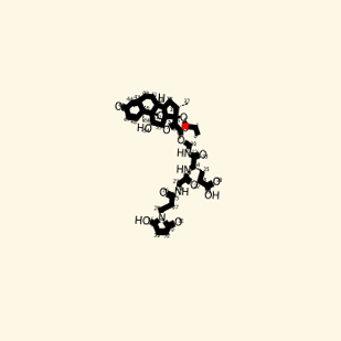 CCC(=O)O[C@]1(C(=O)COCNC(=O)[C@H](CCC(=O)O)NC(=O)CNC(=O)CCN2C(=O)C=CC2O)[C@@H](C)CC2[C@@H]3CCC4=CC(=O)C=C[C@]4(C)[C@@]3(Cl)[C@@H](O)C[C@@]21C